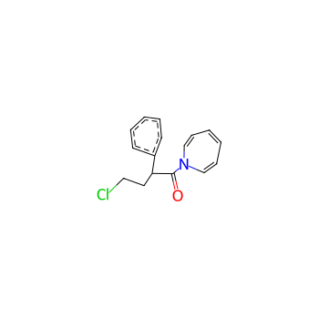 O=C(C(CCCl)c1ccccc1)N1C=CC=CC=C1